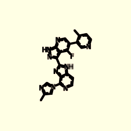 Cc1cn(-c2nccc3[nH]c(-c4n[nH]c5ncc(-c6cnccc6C)c(F)c45)nc23)cn1